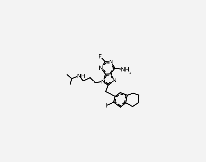 CC(C)NCCCn1c(Cc2cc3c(cc2I)CCCC3)nc2c(N)nc(F)nc21